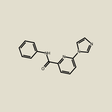 O=C(Nc1ccccc1)c1cccc(-n2ccnc2)n1